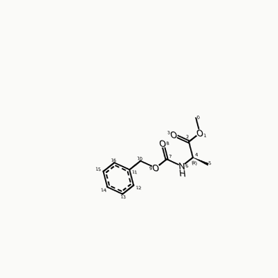 COC(=O)[C@@H](C)NC(=O)OCc1ccccc1